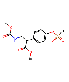 CC(C)(C)OC(=O)NCC(C(=O)OC(C)(C)C)c1ccc(OS(C)(=O)=O)cc1